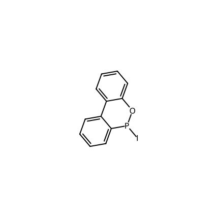 IP1Oc2ccccc2-c2ccccc21